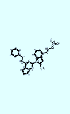 Cc1cc2c(CNN[SH](=O)=O)cccc2n1-c1nc(NCc2ccccc2)c2cccn2n1